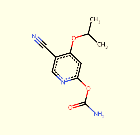 CC(C)Oc1cc(OC(N)=O)ncc1C#N